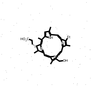 CCC1=C(C)c2cc3[nH]c(cc4nc(c(C)c5cc(C)c(cc1n2)[nH]5)[C@@H](CCC(=O)O)C4C)c(C)c3CO